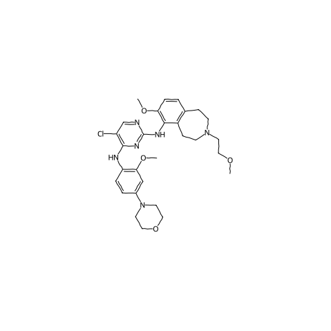 COCCN1CCc2ccc(OC)c(Nc3ncc(Cl)c(Nc4ccc(N5CCOCC5)cc4OC)n3)c2CC1